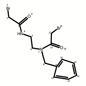 O=C(CBr)NCCN(Cc1ccccc1)C(=O)CBr